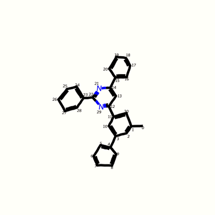 Cc1cc(-c2ccccc2)cc(-c2cc(-c3ccccc3)nc(-c3ccccc3)n2)c1